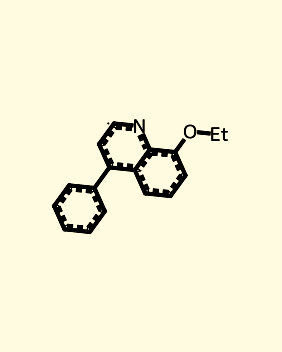 CCOc1cccc2c(-c3ccccc3)c[c]nc12